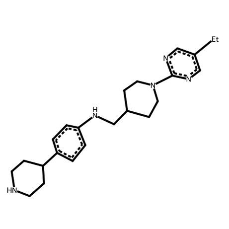 CCc1cnc(N2CCC(CNc3ccc(C4CCNCC4)cc3)CC2)nc1